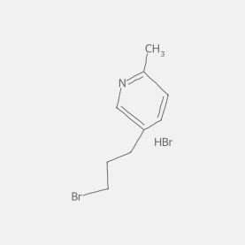 Br.Cc1ccc(CCCBr)cn1